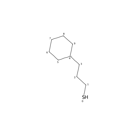 SCCC[C]1CCCCC1